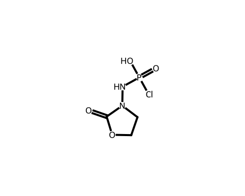 O=C1OCCN1NP(=O)(O)Cl